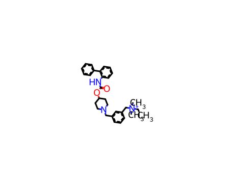 CC[N+](C)(C)Cc1cccc(CN2CCC(OC(=O)Nc3ccccc3-c3ccccc3)CC2)c1